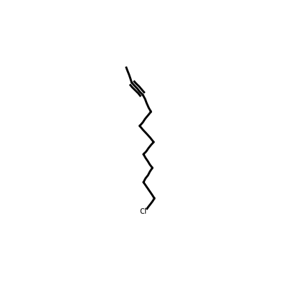 CC#CCCCCCCCCl